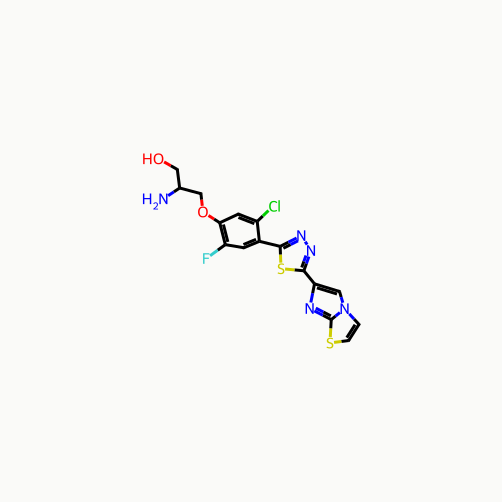 NC(CO)COc1cc(Cl)c(-c2nnc(-c3cn4ccsc4n3)s2)cc1F